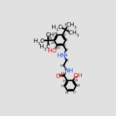 CC(C)(C)c1cc(CNCCNC(=O)c2ccccc2O)c(O)c(C(C)(C)C)c1